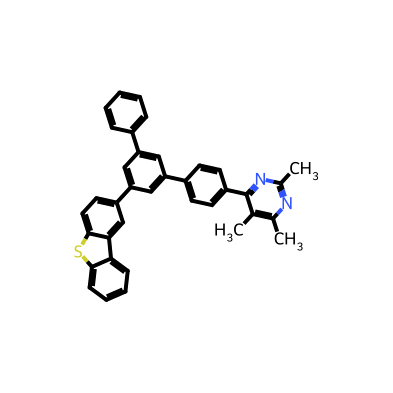 Cc1nc(C)c(C)c(-c2ccc(-c3cc(-c4ccccc4)cc(-c4ccc5sc6ccccc6c5c4)c3)cc2)n1